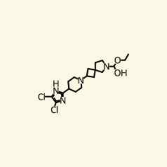 CCOC(O)N1CCC2(CC(N3CCC(c4nc(Cl)c(Cl)[nH]4)CC3)C2)C1